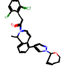 CC1c2cccc(-c3cnn(C4CCCCO4)c3)c2CCN1C(=O)Cc1c(Cl)cccc1Cl